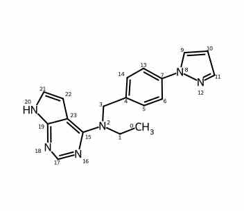 CCN(Cc1ccc(-n2cccn2)cc1)c1ncnc2[nH]ccc12